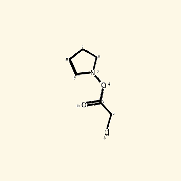 O=C(CCl)ON1CCCC1